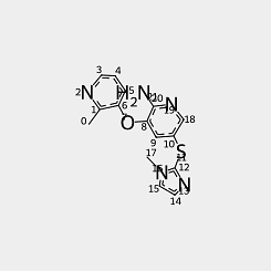 Cc1ncccc1Oc1cc(Sc2nccn2C)cnc1N